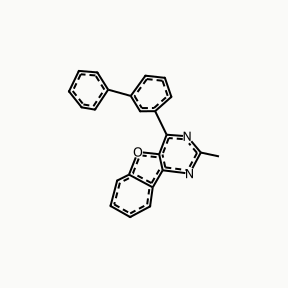 Cc1nc(-c2cccc(-c3ccccc3)c2)c2oc3ccccc3c2n1